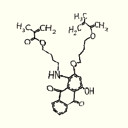 C=C(C)C(=C)OCCCCOc1cc(O)c2c(c1NCCCCOC(=O)C(=C)C)C(=O)c1ccccc1C2=O